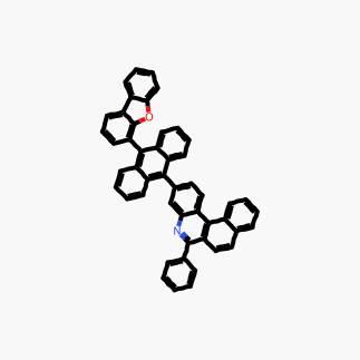 c1ccc(-c2nc3cc(-c4c5ccccc5c(-c5cccc6c5oc5ccccc56)c5ccccc45)ccc3c3c2ccc2ccccc23)cc1